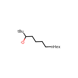 CCCCCCCCCCC([O])C(C)(C)C